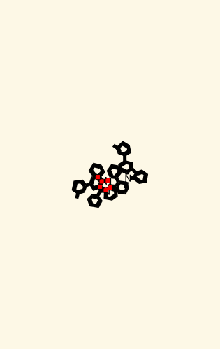 Cc1cccc(-c2ccc3c(c2)c2ccccc2n3-c2ccccc2-c2c(-c3nc(-c4ccccc4)cc(-c4ccccc4)n3)cccc2-n2c3ccccc3c3cc(-c4cccc(C)c4)ccc32)c1